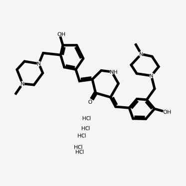 CN1CCN(Cc2cc(C=C3CNCC(=Cc4ccc(O)c(CN5CCN(C)CC5)c4)C3=O)ccc2O)CC1.Cl.Cl.Cl.Cl.Cl